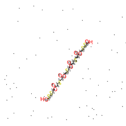 O=C(CCSCCC(=O)OCCSCSCO)OCCSCCOC(=O)CCSCCC(=O)OCCSCSCO